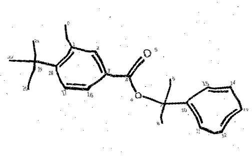 Cc1cc(C(=O)OC(C)(C)c2ccccc2)ccc1C(C)(C)C